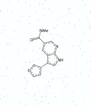 CNC(=O)c1cnc2[nH]cc(-c3ccoc3)c2c1